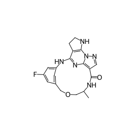 CC1COCc2cc(F)cc(c2)Nc2nc3c(cnn3c3c2CCN3)C(=O)N1